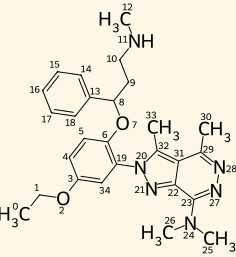 CCOc1ccc(OC(CCNC)c2ccccc2)c(-n2nc3c(N(C)C)nnc(C)c3c2C)c1